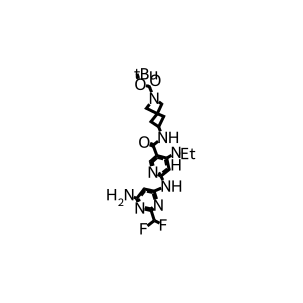 CCNc1cc(Nc2cc(N)nc(C(F)F)n2)ncc1C(=O)NC1CC2(C1)CN(C(=O)OC(C)(C)C)C2